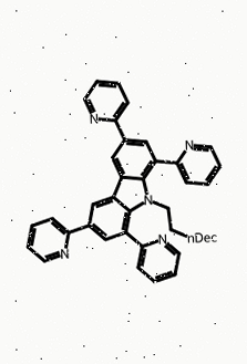 CCCCCCCCCCCCn1c2c(-c3ccccn3)cc(-c3ccccn3)cc2c2cc(-c3ccccn3)cc(-c3ccccn3)c21